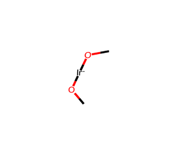 C[O][Ir-][O]C